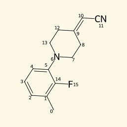 Cc1cccc(N2CCC(=CC#N)CC2)c1F